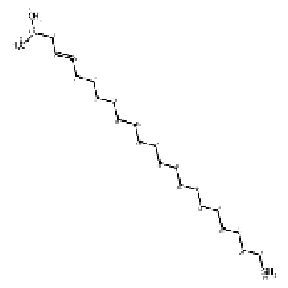 CN(C)CC=CCCCCCCCCCCCCCCCCCC[SiH3]